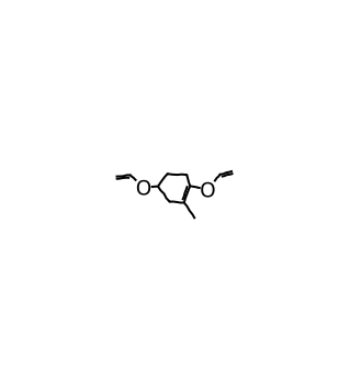 C=COC1=C(C)CC(OC=C)CC1